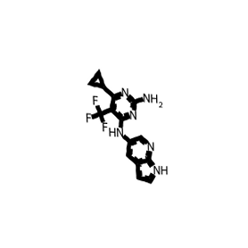 Nc1nc(Nc2cnc3[nH]ccc3c2)c(C(F)(F)F)c(C2CC2)n1